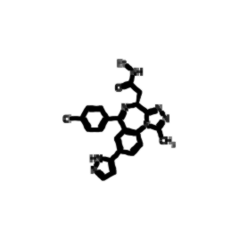 CCNC(=O)C[C@@H]1N=C(c2ccc(Cl)cc2)c2cc(-c3ccn[nH]3)ccc2-n2c(C)nnc21